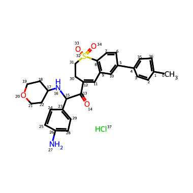 Cc1ccc(-c2ccc3c(c2)C=C(C(=O)C(NC2CCOCC2)c2ccc(N)cc2)CCS3(=O)=O)cc1.Cl